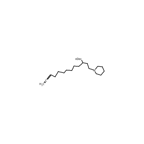 C=C=CCCCCCCCC(CCCCCCCCCC)CCN1CCCCC1